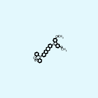 COc1ccc2c(c1)c1cc(OC)ccc1n2-c1ccc2c(c1)Cc1cc3ccc(N4c5ccccc5S(=O)(=O)c5ccccc54)cc3cc1C2